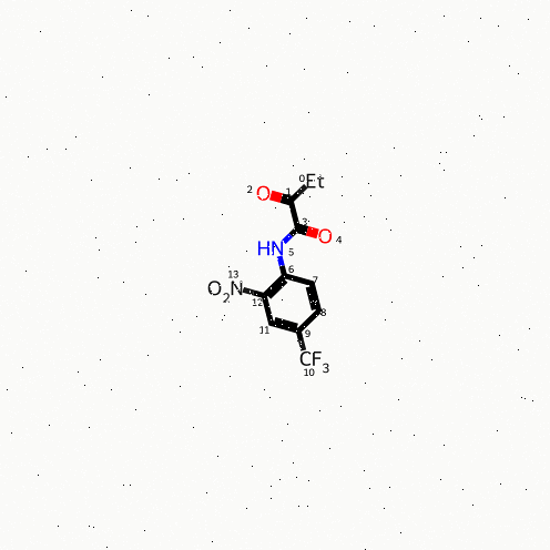 CCC(=O)C(=O)Nc1ccc(C(F)(F)F)cc1[N+](=O)[O-]